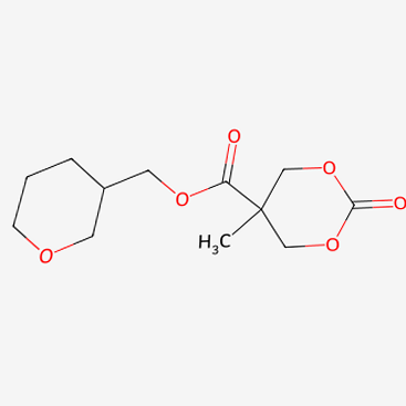 CC1(C(=O)OCC2CCCOC2)COC(=O)OC1